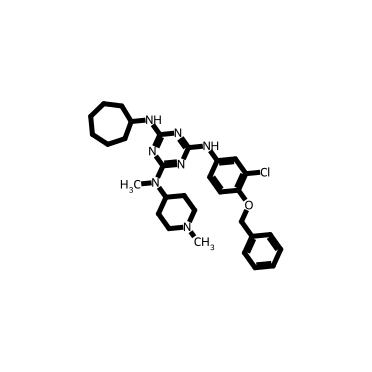 CN1CCC(N(C)c2nc(Nc3ccc(OCc4ccccc4)c(Cl)c3)nc(NC3CCCCCC3)n2)CC1